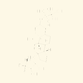 CC(C)(C(O)C(F)(F)F)[C@H]1CC[C@H]2[C@@H]3CC=C4CC(O[Si](C)(C)C(C)(C)C)CC[C@]4(C)[C@H]3CC[C@]12C